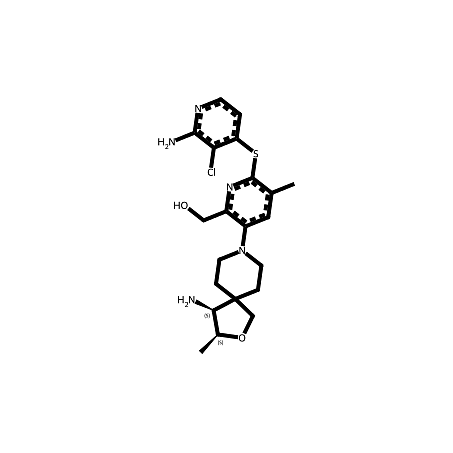 Cc1cc(N2CCC3(CC2)CO[C@@H](C)[C@H]3N)c(CO)nc1Sc1ccnc(N)c1Cl